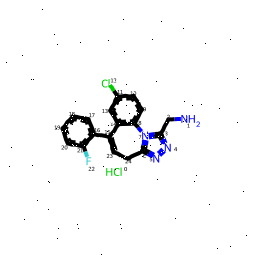 Cl.NCc1nnc2n1-c1ccc(Cl)cc1C(c1ccccc1F)=CC2